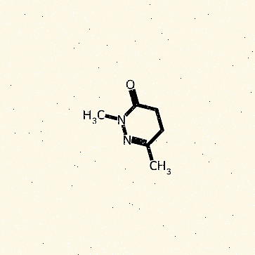 CC1=NN(C)C(=O)CC1